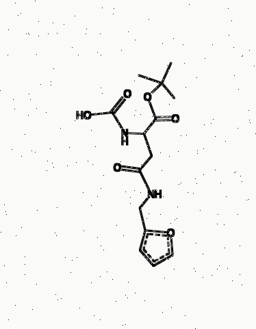 CC(C)(C)OC(=O)C(CC(=O)NCc1ccco1)NC(=O)O